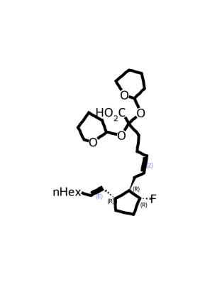 CCCCCC/C=C/[C@H]1CC[C@@H](F)[C@@H]1C/C=C\CCC(OC1CCCCO1)(OC1CCCCO1)C(=O)O